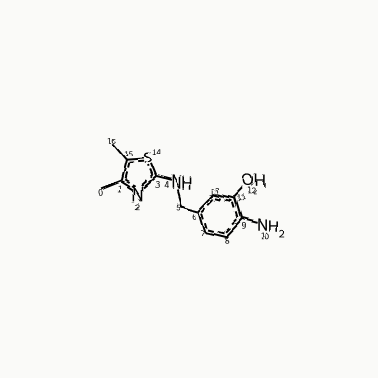 Cc1nc(NCc2ccc(N)c(O)c2)sc1C